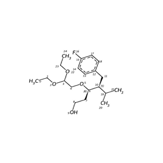 CCOC(CO[C@H](CCO)[C@@H](Cc1ccc(F)cc1)C(C)C)OCC